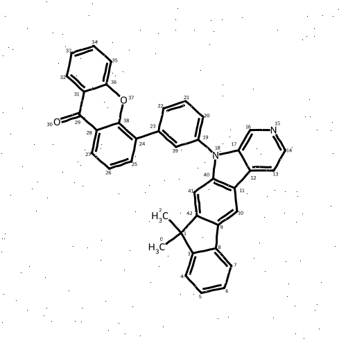 CC1(C)c2ccccc2-c2cc3c4ccncc4n(-c4cccc(-c5cccc6c(=O)c7ccccc7oc56)c4)c3cc21